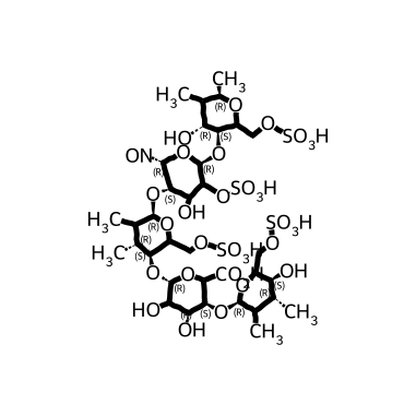 CC1[C@@H](O[C@@H]2C(C(=O)O)O[C@@H](O[C@@H]3C(COS(=O)(=O)O)O[C@H](O[C@H]4C(O)C(OS(=O)(=O)O)[C@H](O[C@@H]5C(COS(=O)(=O)O)O[C@H](C)C(C)[C@H]5O)O[C@H]4N=O)C(C)[C@H]3C)C(O)[C@H]2O)OC(COS(=O)(=O)O)[C@@H](O)[C@@H]1C